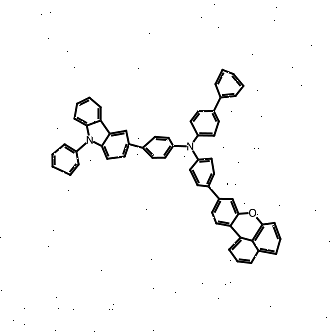 c1ccc(-c2ccc(N(c3ccc(-c4ccc5c(c4)Oc4cccc6cccc-5c46)cc3)c3ccc(-c4ccc5c(c4)c4ccccc4n5-c4ccccc4)cc3)cc2)cc1